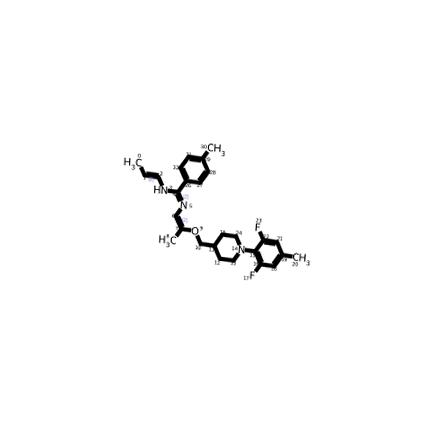 C/C=C/N/C(=N\C=C(\C)OCC1CCN(c2c(F)cc(C)cc2F)CC1)c1ccc(C)cc1